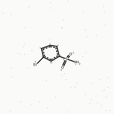 CCc1cc[c]c(S(N)(=O)=O)c1